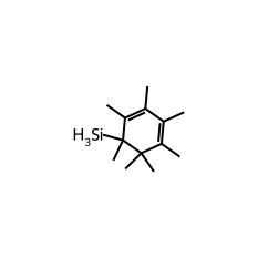 CC1=C(C)C(C)(C)C(C)([SiH3])C(C)=C1C